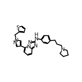 c1csc(Cn2cc(-c3cccc4nc(Nc5ccc(CCCN6CCCC6)cc5)nn34)cn2)c1